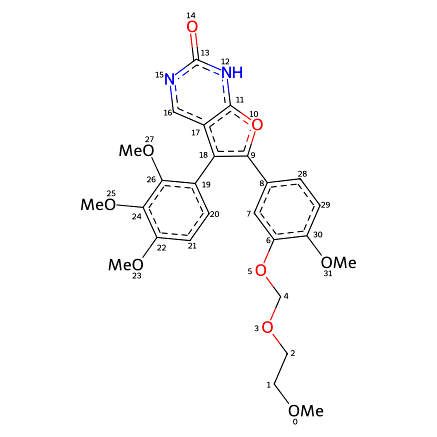 COCCOCOc1cc(-c2oc3[nH]c(=O)ncc3c2-c2ccc(OC)c(OC)c2OC)ccc1OC